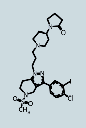 CS(=O)(=O)N1CCc2c(c(-c3ccc(Cl)c(I)c3)nn2CCCN2CCC(N3CCCC3=O)CC2)C1